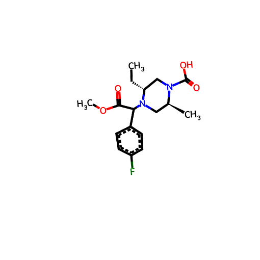 CC[C@@H]1CN(C(=O)O)[C@@H](C)CN1C(C(=O)OC)c1ccc(F)cc1